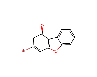 O=C1CC(Br)=Cc2oc3ccccc3c21